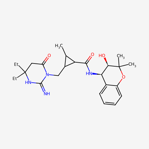 CCC1(CC)CC(=O)N(CC2C(C)C2C(=O)N[C@@H]2c3ccccc3OC(C)(C)[C@@H]2O)C(=N)N1